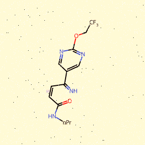 CCCNC(=O)/C=C\C(=N)c1cnc(OCC(F)(F)F)nc1